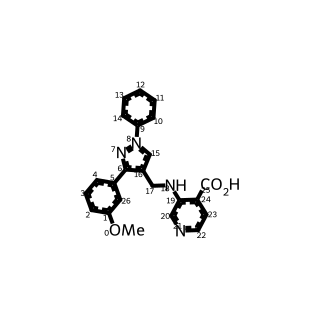 COc1cccc(-c2nn(-c3ccccc3)cc2CNc2cnccc2C(=O)O)c1